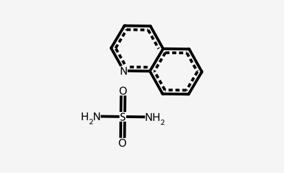 NS(N)(=O)=O.c1ccc2ncccc2c1